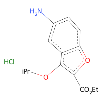 CCOC(=O)c1oc2ccc(N)cc2c1OC(C)C.Cl